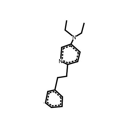 CCN(CC)c1ccc(CCc2c[c]ccc2)nc1